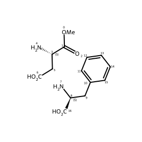 COC(=O)[C@@H](N)CC(=O)O.N[C@@H](Cc1ccccc1)C(=O)O